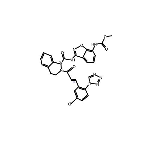 COC(=O)Nc1cccc2c(NC(=O)[C@@H]3c4ccccc4CCN3C(=O)/C=C/c3cc(Cl)ccc3-n3cnnn3)noc12